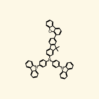 CC1(C)c2cc(-c3cccc4c3oc3ccccc34)ccc2-c2ccc(N(c3ccc(-n4c5ccccc5c5ccccc54)cc3)c3ccc(-n4c5ccccc5c5ccccc54)cc3)cc21